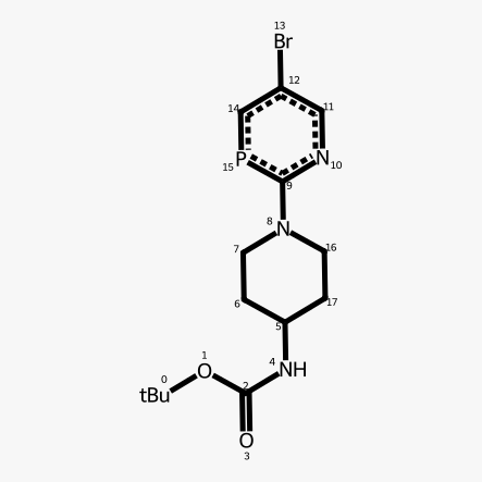 CC(C)(C)OC(=O)NC1CCN(c2ncc(Br)cp2)CC1